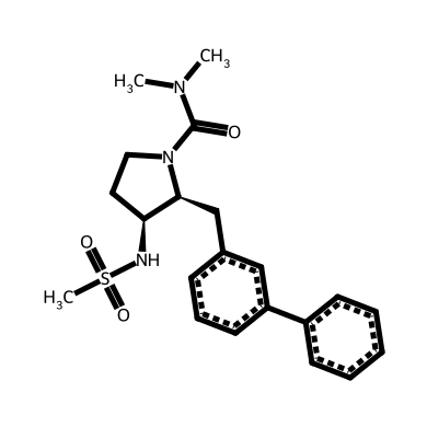 CN(C)C(=O)N1CC[C@H](NS(C)(=O)=O)[C@@H]1Cc1cccc(-c2ccccc2)c1